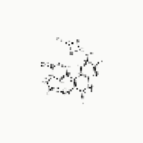 Cc1nc2[nH]c(=O)c(N)c(-c3ccc(Cl)c4[nH]ncc34)c2cc1OC1CC(F)C1